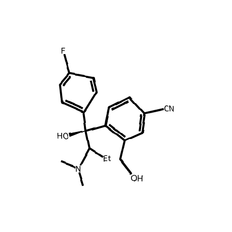 CCC(N(C)C)[C@](O)(c1ccc(F)cc1)c1ccc(C#N)cc1CO